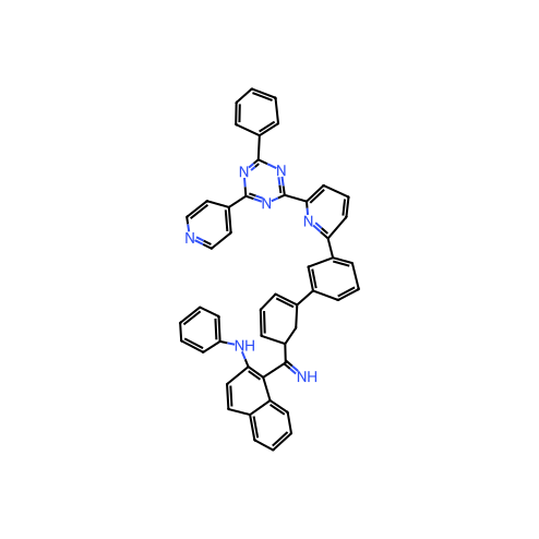 N=C(c1c(Nc2ccccc2)ccc2ccccc12)C1C=CC=C(c2cccc(-c3cccc(-c4nc(-c5ccccc5)nc(-c5ccncc5)n4)n3)c2)C1